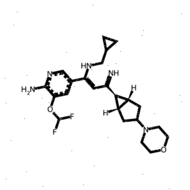 N=C(/C=C(\NCC1CC1)c1cnc(N)c(OC(F)F)c1)[C@H]1[C@@H]2CC(N3CCOCC3)C[C@@H]21